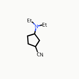 CCN(CC)C1CCC(C#N)C1